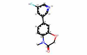 CN1C(=O)COc2cc(-c3cncc(F)c3)ccc21